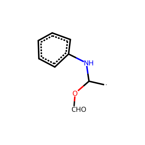 [CH2]C(Nc1ccccc1)OC=O